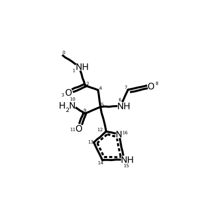 CNC(=O)CC(NC=O)(C(N)=O)c1cc[nH]n1